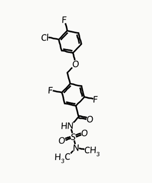 CN(C)S(=O)(=O)NC(=O)c1cc(F)c(COc2ccc(F)c(Cl)c2)cc1F